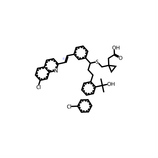 CC(C)(O)c1ccccc1CCC(SCC1(CC(=O)O)CC1)c1cccc(/C=C/c2ccc3ccc(Cl)cc3n2)c1.Clc1ccccc1